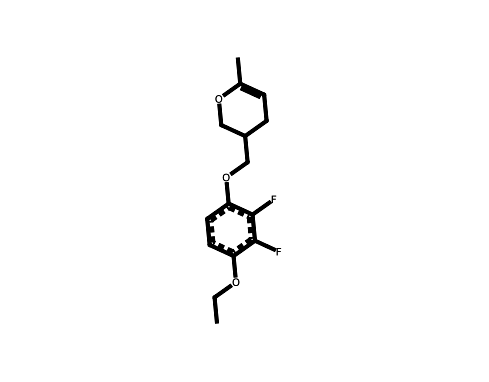 CCOc1ccc(OCC2CC=C(C)OC2)c(F)c1F